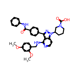 COc1ccc(CNc2nccc3c2c(-c2ccc(C(=O)Nc4ccccc4)cc2)nn3C2CCCN(C(=O)O)C2)c(OC)c1